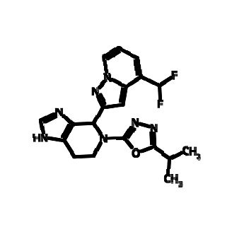 CC(C)c1nnc(N2CCc3[nH]cnc3C2c2cc3c(C(F)F)cccn3n2)o1